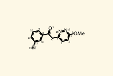 COc1ccc(CC(=O)c2cccc(Br)c2)nn1